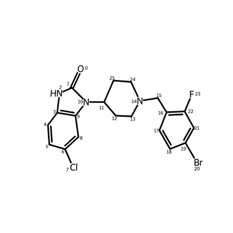 O=c1[nH]c2ccc(Cl)cc2n1C1CCN(Cc2ccc(Br)cc2F)CC1